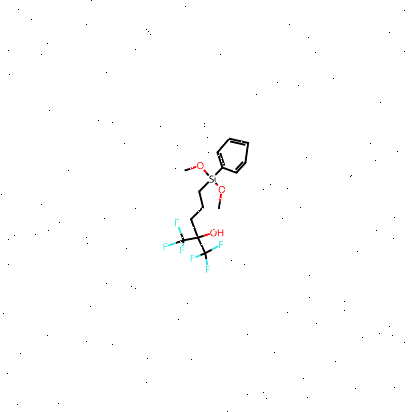 CO[Si](CCCC(O)(C(F)(F)F)C(F)(F)F)(OC)c1ccccc1